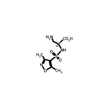 Cc1noc(C)c1S(=O)(=O)N[C@@H](CN)C(=O)O